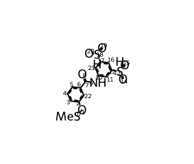 CSOc1cccc(C(=O)Nc2cc([SH](=O)=O)cc([SH](=O)=O)c2)c1